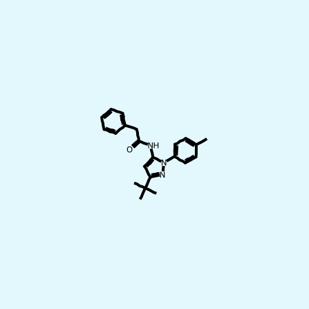 Cc1ccc(-n2nc(C(C)(C)C)cc2NC(=O)Cc2ccccc2)cc1